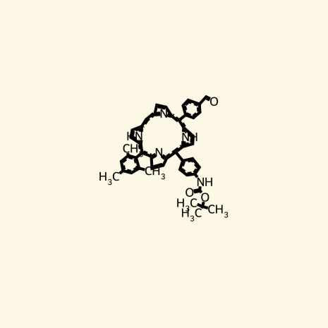 Cc1cc(C)c(-c2c3nc(c(-c4ccc(NC(=O)OC(C)(C)C)cc4)c4ccc([nH]4)c(-c4ccc(C=O)cc4)c4nc(cc5ccc2[nH]5)C=C4)C=C3)c(C)c1